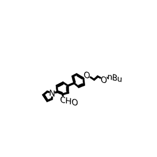 CCCCOCCOc1ccc(-c2ccc(N3CC=CC3)c(C=O)c2)cc1